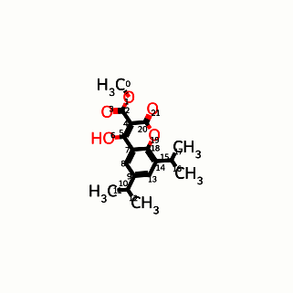 COC(=O)c1c(O)c2cc(C(C)C)cc(C(C)C)c2oc1=O